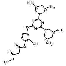 COC(=O)CC(=O)Nc1ccc(Nc2nc(N3C[C@H](N)C[C@H](N)C3)nc(N3C[C@H](N)C[C@H](N)C3)n2)cc1O